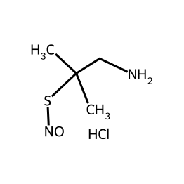 CC(C)(CN)SN=O.Cl